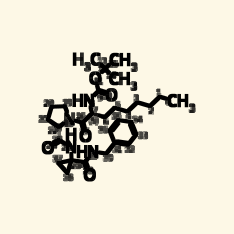 CCCCCCC[C@H](NC(=O)OC(C)(C)C)C(=O)N1CCC[C@H]1C(=O)NC1(C(=O)NCc2ccccc2)CC1